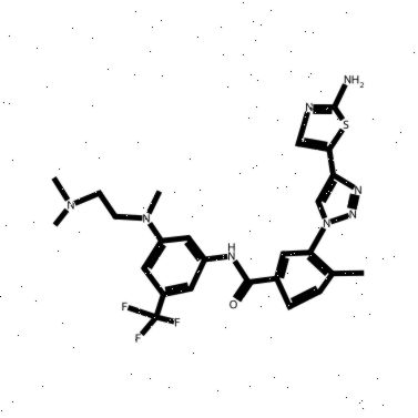 Cc1ccc(C(=O)Nc2cc(N(C)CCN(C)C)cc(C(F)(F)F)c2)cc1-n1cc(-c2cnc(N)s2)nn1